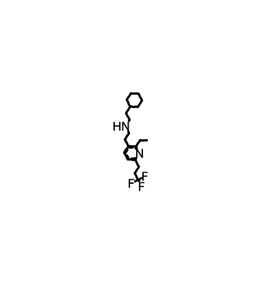 CCc1nc(CCC(F)(F)F)ccc1CCNCCC1CCCCC1